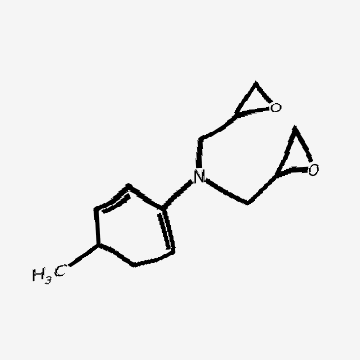 CC1C=CC(N(CC2CO2)CC2CO2)=CC1